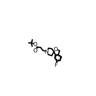 CC(C)(C)OC(=O)CCN1CCC2(CC1)OCc1ccc(F)cc12